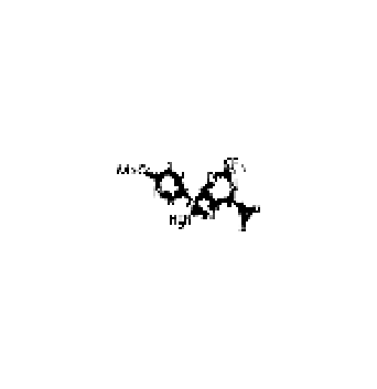 COc1ccc(-n2c(N)nc3c(C4CC4)nc(C(F)(F)F)nc32)cn1